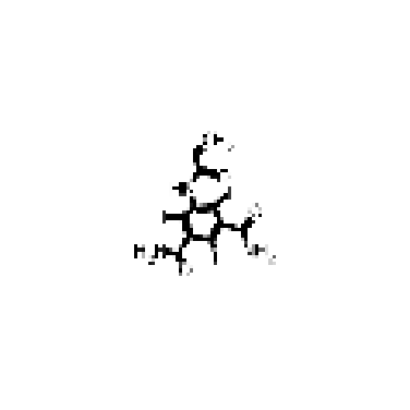 C=CC(=O)Nc1c(I)c(C(N)=O)c(I)c(C(N)=O)c1I